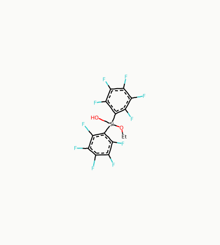 CCO[Si](O)(c1c(F)c(F)c(F)c(F)c1F)c1c(F)c(F)c(F)c(F)c1F